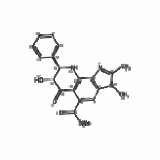 CNC(=O)c1cc2c(nc(C)n2C)c2c1C(=O)[C@H](O)[C@@H](c1ccccc1)N2